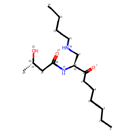 CCCCCCC(=O)[C@H](CNCCCC)NC(=O)C[C@H](C)O